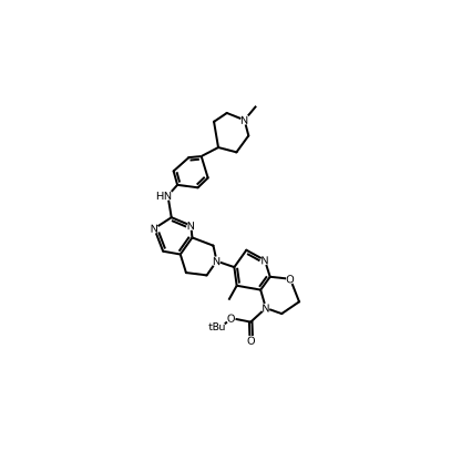 Cc1c(N2CCc3cnc(Nc4ccc(C5CCN(C)CC5)cc4)nc3C2)cnc2c1N(C(=O)OC(C)(C)C)CCO2